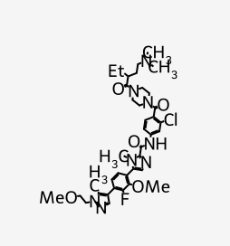 CCC(CCN(C)C)C(=O)N1CCN(C(=O)c2ccc(NC(=O)c3ncc(-c4ccc(-c5cnn(CCOC)c5C)c(F)c4OC)n3C)cc2Cl)CC1